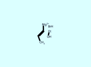 Br.CC=[CH][Mg+2].CCO